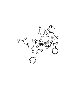 CO[C@H]1C(=O)[C@@]2(C)C([C@H](OC(=O)c3ccccc3)[C@]3(O)C[C@H](OC(=O)[C@@H](Cc4ccccc4)OC(=O)CSCC(C)=O)C(C)=C1C3(C)C)[C@]1(OC(C)=O)COC1C[C@@H]2OC